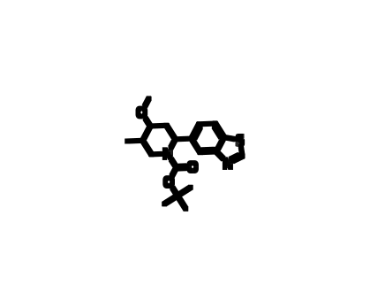 COC1CC(c2ccc3scnc3c2)N(C(=O)OC(C)(C)C)CC1C